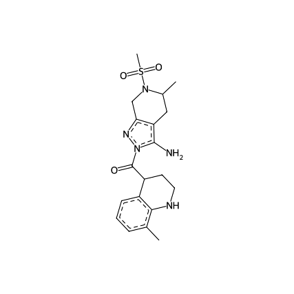 Cc1cccc2c1NCCC2C(=O)n1nc2c(c1N)CC(C)N(S(C)(=O)=O)C2